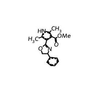 COC(=O)c1c(C)[nH]c(C)c1C1=NC(c2ccccc2)CO1